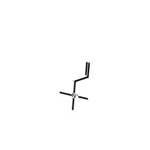 C=C[CH][N+](C)(C)C